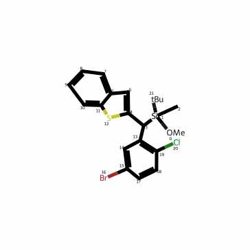 CO[Si](C)(C(c1cc2ccccc2s1)c1cc(Br)ccc1Cl)C(C)(C)C